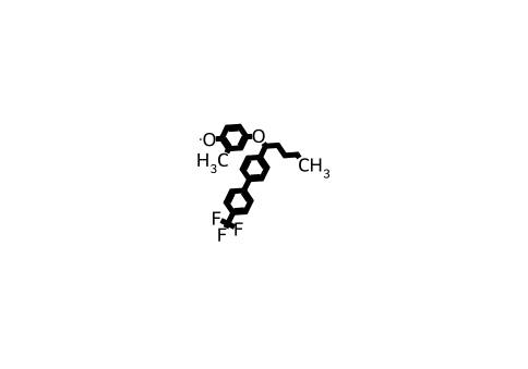 CCCCC(Oc1ccc([O])c(C)c1)c1ccc(-c2ccc(C(F)(F)F)cc2)cc1